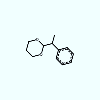 CC(c1ccccc1)C1OCCCO1